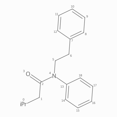 CC(C)CC(=O)N(CCc1ccccc1)c1ccccc1